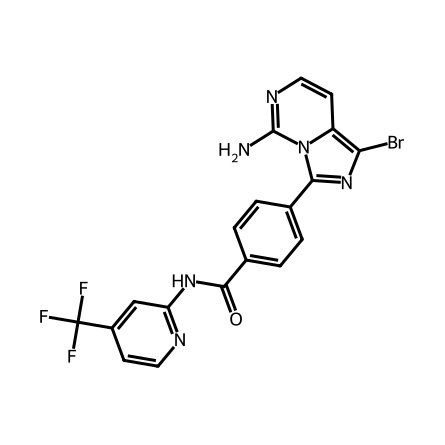 Nc1nccc2c(Br)nc(-c3ccc(C(=O)Nc4cc(C(F)(F)F)ccn4)cc3)n12